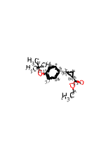 CCOC(=O)[C@@H]1C[C@H]1c1ccc(OC(C)(C)C)cc1